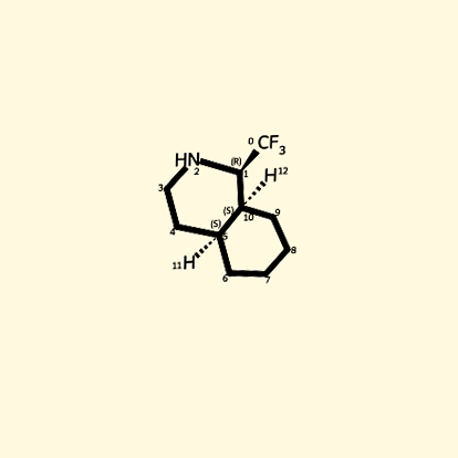 FC(F)(F)[C@@H]1NCC[C@@H]2CCCC[C@@H]21